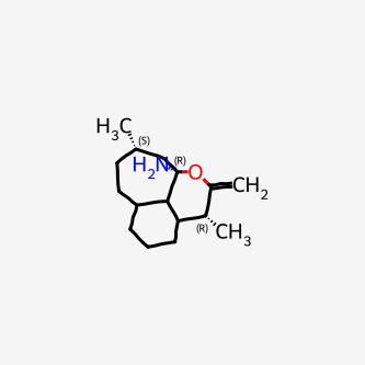 C=C1O[C@]2(N)C[C@@H](C)CCC3CCCC(C32)[C@H]1C